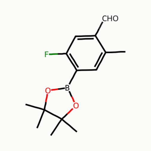 Cc1cc(B2OC(C)(C)C(C)(C)O2)c(F)cc1C=O